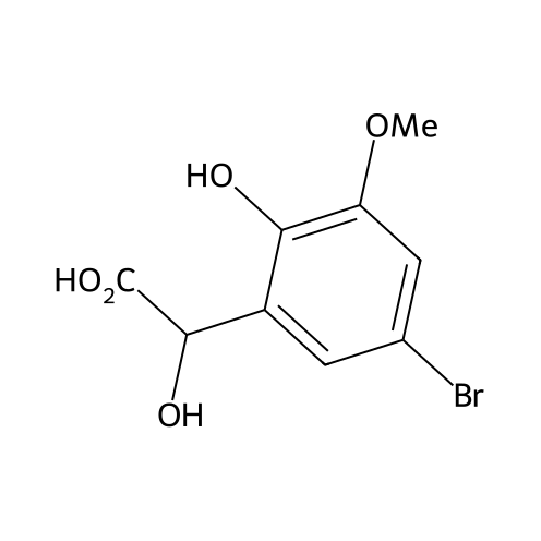 COc1cc(Br)cc(C(O)C(=O)O)c1O